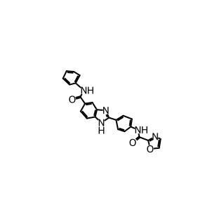 O=C(Nc1ccccc1)c1ccc2[nH]c(-c3ccc(NC(=O)c4ncco4)cc3)nc2c1